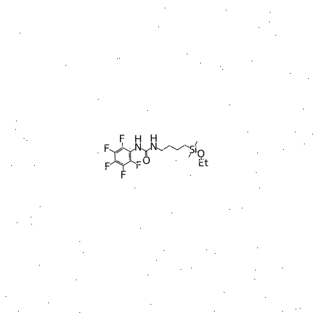 CCO[Si](C)(C)CCCCNC(=O)Nc1c(F)c(F)c(F)c(F)c1F